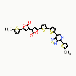 Cc1ccc(C2=C/C(=C3/C=C(c4ccc(-c5ccc(-c6cnc(-c7ccc(C)s7)c7nsnc67)s5)s4)OC3=O)C(=O)O2)s1